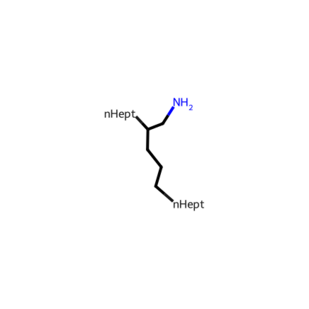 CCCCCCCCCCC(CN)CCCCCCC